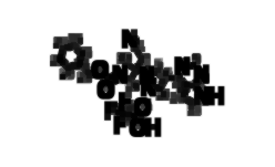 N#CCC1(n2cc(-c3ncnc4[nH]ccc34)cn2)CN(C(=O)OCc2ccccc2)C1.O=C(O)C(F)(F)F